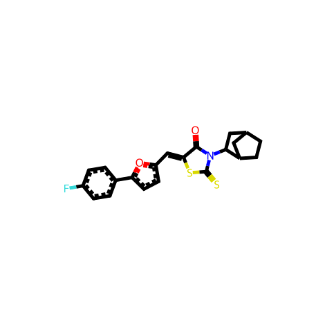 O=C1C(=Cc2ccc(-c3ccc(F)cc3)o2)SC(=S)N1C1CC2CCC1C2